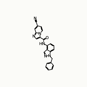 N#Cc1ccn2c(C(=O)Nc3cccc4c3cnn4Cc3ccccc3)cnc2c1